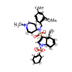 COc1ccc(CN(C2CCN(C)CC2)S(=O)(=O)c2cn(S(=O)(=O)c3ccccc3)c3cccc(C(C)C)c23)c(OC)c1